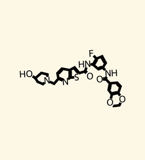 O=C(Nc1ccc(F)c(NC(=O)c2cc3ccc(CN4CCC(O)CC4)nc3s2)c1)c1ccc2c(c1)OCCO2